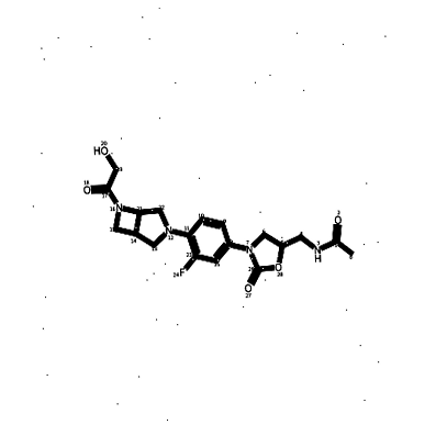 CC(=O)NCC1CN(c2ccc(N3CC4CN(C(=O)CO)C4C3)c(F)c2)C(=O)O1